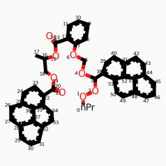 CCCOOC(OCOc1ccccc1C(=O)OC(C)COC(=O)c1ccc2ccc3cccc4ccc1c2c34)c1ccc2ccc3cccc4ccc1c2c34